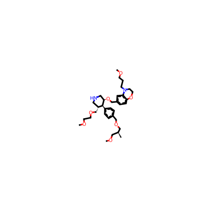 COCCCN1CCOc2ccc(CO[C@H]3CNC[C@@H](COCCOC)[C@@H]3c3ccc(COC[C@@H](C)COC)cc3)cc21